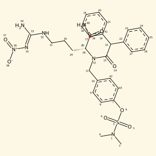 CN(C)S(=O)(=O)Oc1ccc(CN(C(=O)C(c2ccccc2)c2ccccc2)[C@H](CCCNC(N)=N[N+](=O)[O-])C(N)=O)cc1